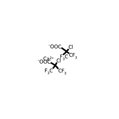 O=C([O-])C(Cl)(C(F)(F)F)C(F)(F)F.O=C([O-])C(Cl)(C(F)(F)F)C(F)(F)F.[Ca+2]